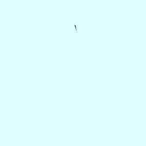 O=C(Cl)[C@H]1CC[C@H](COCc2ccccc2)CC1